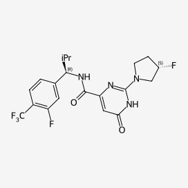 CC(C)[C@@H](NC(=O)c1cc(=O)[nH]c(N2CC[C@H](F)C2)n1)c1ccc(C(F)(F)F)c(F)c1